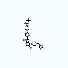 Cc1nc(CN2CCN(c3c(Br)cnc4[nH]c(-c5ccc(N6CCN(C(=O)OC(C)(C)C)CC6)cc5)nc34)CC2)cs1